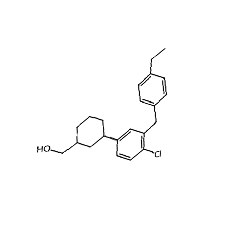 CCc1ccc(Cc2cc(C3CCCC(CO)C3)ccc2Cl)cc1